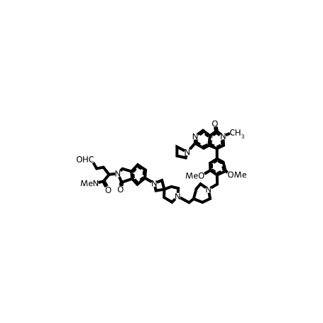 CNC(=O)C(CCC=O)N1Cc2ccc(N3CC4(CCN(CC5CCN(Cc6c(OC)cc(-c7cn(C)c(=O)c8cnc(N9CCC9)cc78)cc6OC)CC5)CC4)C3)cc2C1=O